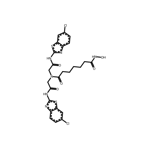 O=C(CCCCCC(=O)N(CC(=O)Nc1nc2ccc(Cl)cc2s1)CC(=O)Nc1nc2ccc(Cl)cc2s1)NO